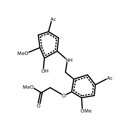 COC(=O)COc1c(CNc2cc(C(C)=O)cc(OC)c2O)cc(C(C)=O)cc1OC